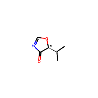 CC(C)[C@H]1OC=NC1=O